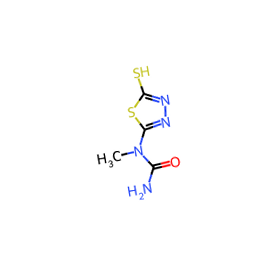 CN(C(N)=O)c1nnc(S)s1